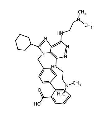 CN(C)CCNc1nnc(NCCN(C)C)c2c1nc(C1CCCCC1)n2Cc1ccc(-c2ccccc2C(=O)O)cc1